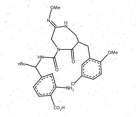 CCCCC(NC(=O)N1C/C(=N/OC)NCC(Cc2cc(Cl)ccc2OC)C1=O)c1ccc(C(=O)O)c(N)c1